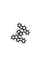 c1ccc(-n2c3ccccc3c3ccc4c5ccccc5n(-c5ccc(-c6nc7ccccc7c7ccc8c9ccccc9oc8c67)cc5)c4c32)cc1